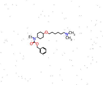 CCN(C(=O)OCc1ccccc1)[C@H]1CC[C@H](OCCCCCCN(C)C)CC1